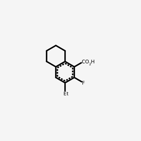 CCc1cc2c(c(C(=O)O)c1F)CCCC2